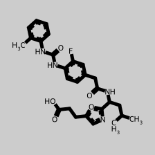 Cc1ccccc1NC(=O)Nc1ccc(CC(=O)NC(CC(C)C)c2ncc(CCC(=O)O)o2)cc1F